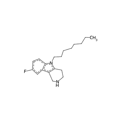 CCCCCCCCn1c2c(c3cc(F)ccc31)CNCC2